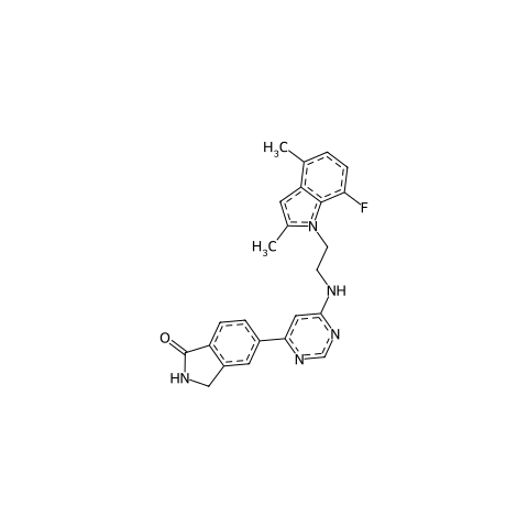 Cc1ccc(F)c2c1cc(C)n2CCNc1cc(-c2ccc3c(c2)CNC3=O)ncn1